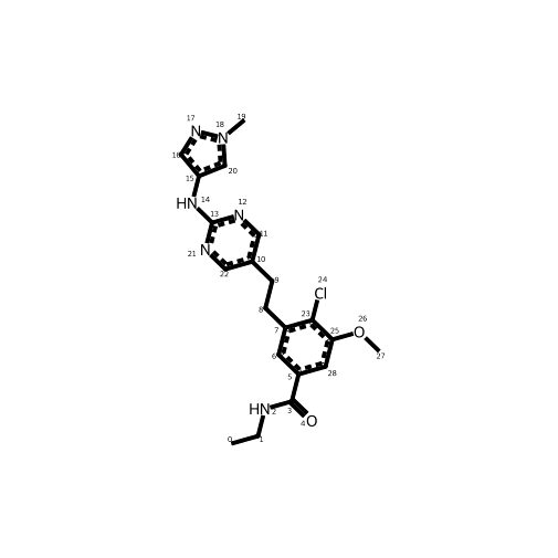 CCNC(=O)c1cc(CCc2cnc(Nc3cnn(C)c3)nc2)c(Cl)c(OC)c1